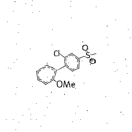 COc1ccc[c]c1-c1ccc(S(C)(=O)=O)cc1Cl